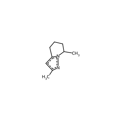 Cc1cc2n(n1)C(C)CCC2